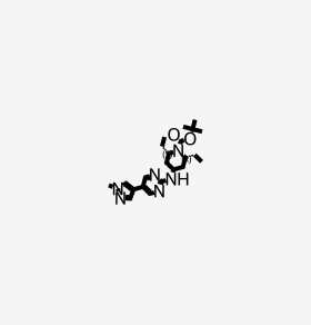 CC[C@@H]1CC(Nc2ncc(-c3cnn(C)c3)cn2)C[C@H](CC)N1C(=O)OC(C)(C)C